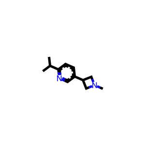 CC(C)c1ccc(C2CN(C)C2)cn1